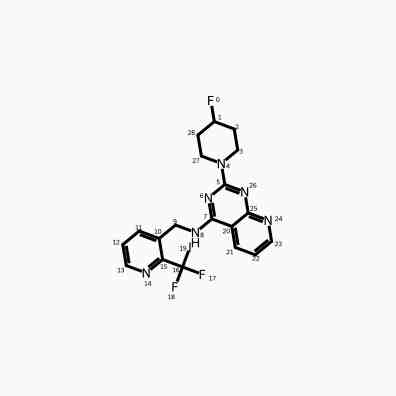 FC1CCN(c2nc(NCc3cccnc3C(F)(F)I)c3cccnc3n2)CC1